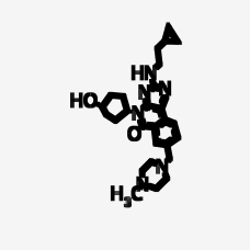 CN1CCN(Cc2ccc3c(c2)c(=O)n([C@H]2CC[C@H](O)CC2)c2nc(NCCC4CC4)ncc32)CC1